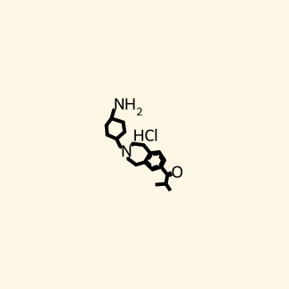 CC(C)C(=O)c1ccc2c(c1)CCN(CC1CCC(CN)CC1)CC2.Cl